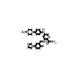 CC(=O)N1CCN(c2ccc(Nc3cc(NCc4cc(-n5ccnc5)ccc4F)c(C(N)=O)nn3)cc2)CC1